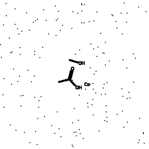 CC(=O)O.CO.[Co]